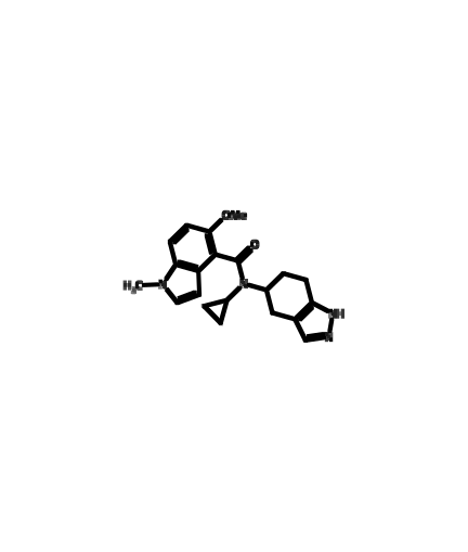 COc1ccc2c(ccn2C)c1C(=O)N(C1CC1)C1CCc2[nH]ncc2C1